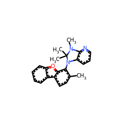 Cc1ccc2c(oc3ccccc32)c1N1c2cccnc2N(C)C1(C)C